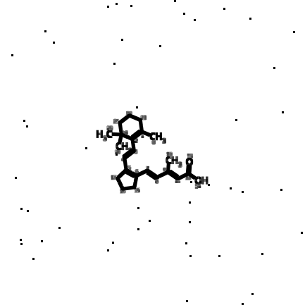 CC1=C(C=CC2=C(/C=C/C(C)=C/C(=O)O)CCC2)C(C)(C)CCC1